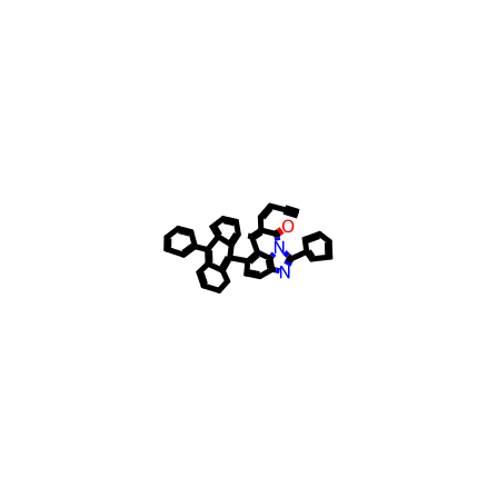 C#C/C=C\c1c(C)c2c(-c3c4c(c(-c5ccccc5)c5ccccc35)C=CCC4)ccc3nc(-c4ccccc4)n(c1=O)c32